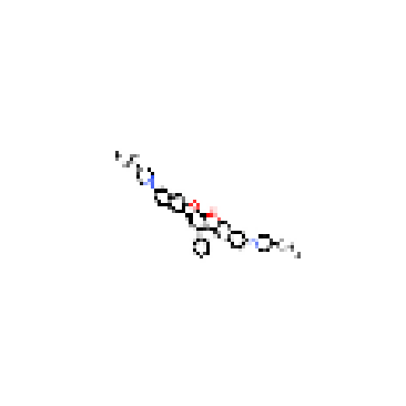 CC1CCN(c2ccc3cc4c(cc3c2)oc2c4cc(-c3ccccc3)c3c4cc5ccc(N6CCC(C)CC6)cc5cc4oc23)CC1